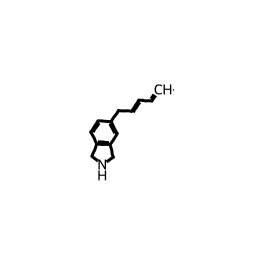 [CH]=CC=CCc1ccc2c(c1)CNC2